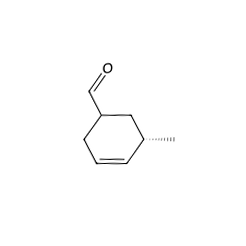 C[C@@H]1C=CCC(C=O)C1